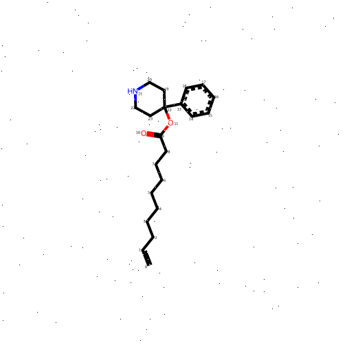 C=CCCCCCCCC(=O)OC1(c2ccccc2)CCNCC1